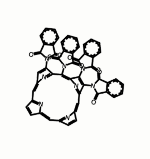 O=C1c2ccccc2C(=O)N1C1=CC2=CC3=NC(=CC4=NC(=CC5=NC(=C(N6C(=O)c7ccccc7C6=O)C1=N2)C(N1C(=O)c2ccccc2C1=O)=C5N1C(=O)c2ccccc2C1=O)C=C4)C=C3